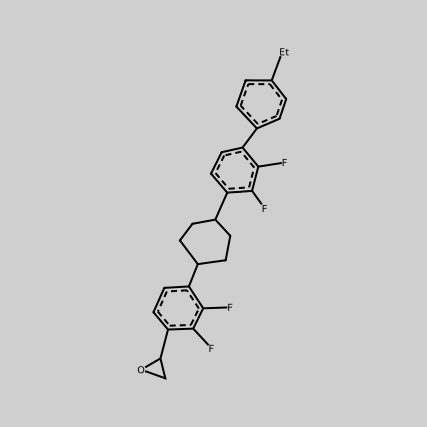 CCc1ccc(-c2ccc(C3CCC(c4ccc(C5CO5)c(F)c4F)CC3)c(F)c2F)cc1